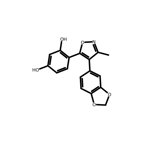 Cc1noc(-c2ccc(O)cc2O)c1-c1ccc2c(c1)OCO2